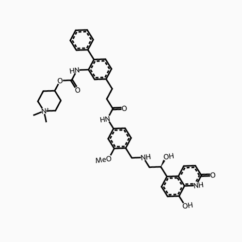 COc1cc(NC(=O)CCc2ccc(-c3ccccc3)c(NC(=O)OC3CC[N+](C)(C)CC3)c2)ccc1CNC[C@@H](O)c1ccc(O)c2[nH]c(=O)ccc12